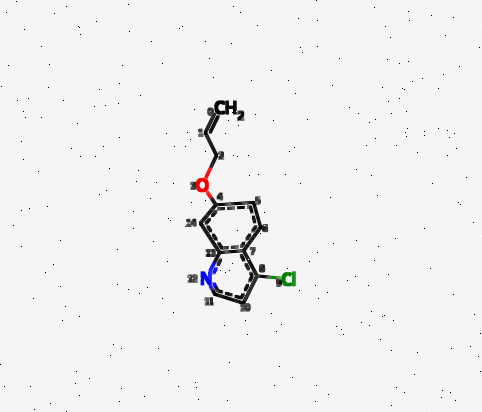 C=CCOc1ccc2c(Cl)ccnc2c1